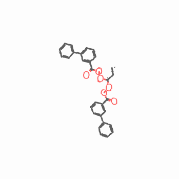 [CH2]C[C](OOC(=O)c1cccc(-c2ccccc2)c1)OOC(=O)c1cccc(-c2ccccc2)c1